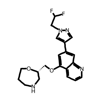 FC(F)Cn1cc(-c2cc(OC[C@@H]3CNCCCO3)c3cccnc3c2)cn1